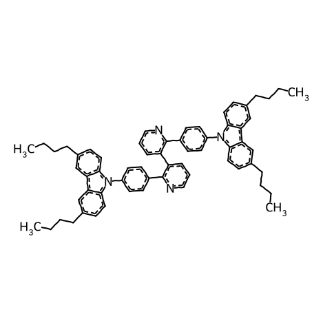 CCCCc1ccc2c(c1)c1cc(CCCC)ccc1n2-c1ccc(-c2ncccc2-c2cccnc2-c2ccc(-n3c4ccc(CCCC)cc4c4cc(CCCC)ccc43)cc2)cc1